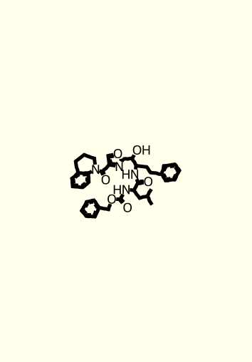 CC(C)CC(NC(=O)OCc1ccccc1)C(=O)NC(CCc1ccccc1)C(O)c1nc(C(=O)N2CCCc3ccccc32)co1